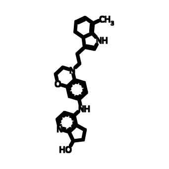 CC1=C2NC=C(CCN3CCOc4cc(Nc5ccnc6c5CCC6O)ccc43)C2CC=C1